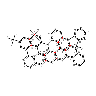 CC(C)(C)c1cc(-c2cccc3cccc(-c4ccccc4N(c4ccccc4-c4ccc5c(c4)C(C)(C)c4ccccc4-5)c4ccccc4-c4cccc5c4ccc4ccccc45)c23)cc(C(C)(C)C)c1